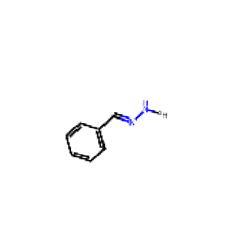 [2H]NN=Cc1ccccc1